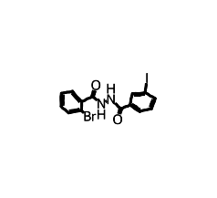 O=C(NNC(=O)c1ccccc1Br)c1cccc(I)c1